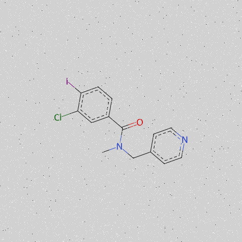 CN(Cc1ccncc1)C(=O)c1ccc(I)c(Cl)c1